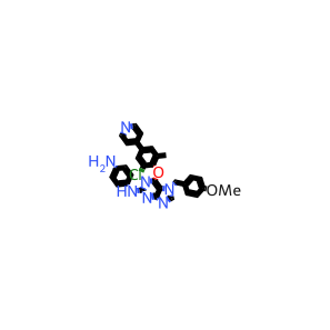 COc1ccc(Cn2cnc3nc(Nc4ccc(N)cc4)nc(Oc4c(C)cc(-c5ccncc5)cc4Cl)c32)cc1